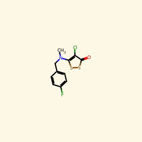 CN(Cc1ccc(F)cc1)c1ssc(=O)c1Cl